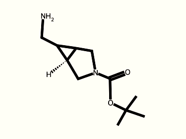 CC(C)(C)OC(=O)N1CC2C(CN)[C@@H]2C1